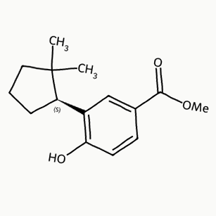 COC(=O)c1ccc(O)c([C@H]2CCCC2(C)C)c1